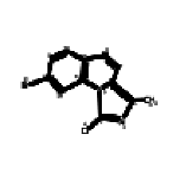 Cc1nc(Cl)n2c1cnc1ccc(Br)cc12